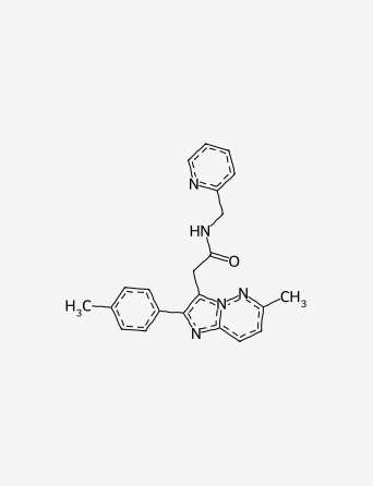 Cc1ccc(-c2nc3ccc(C)nn3c2CC(=O)NCc2ccccn2)cc1